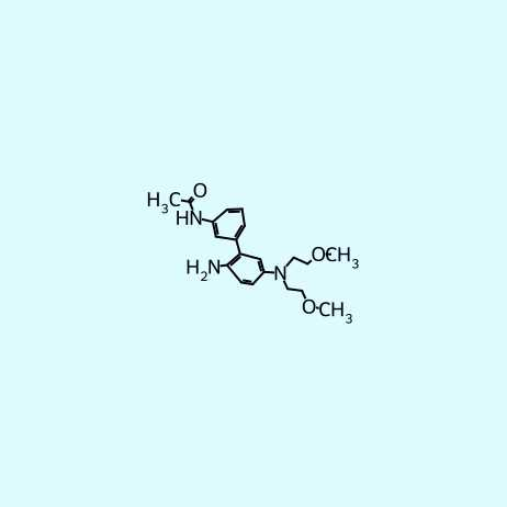 COCCN(CCOC)c1ccc(N)c(-c2cccc(NC(C)=O)c2)c1